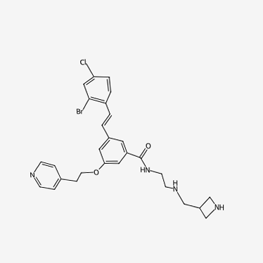 O=C(NCCNCC1CNC1)c1cc(/C=C/c2ccc(Cl)cc2Br)cc(OCCc2ccncc2)c1